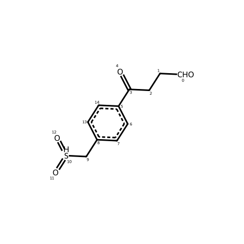 O=CCCC(=O)c1ccc(C[SH](=O)=O)cc1